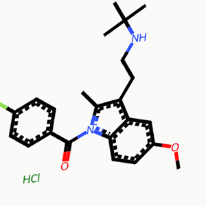 COc1ccc2c(c1)c(CCNC(C)(C)C)c(C)n2C(=O)c1ccc(F)cc1.Cl